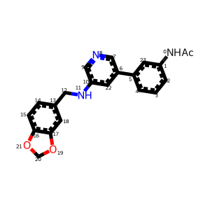 CC(=O)Nc1cccc(-c2cncc(NCc3ccc4c(c3)OCO4)c2)c1